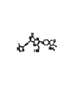 Cc1ncsc1C#Cc1n[nH]c2nc(N3CCC4(CC3)CO[C@@H](C)[C@H]4N)c(CO)nc12